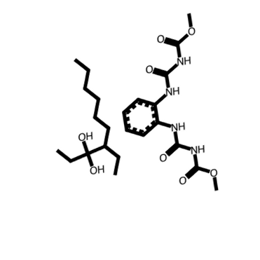 CCCCCCC(CC)C(O)(O)CC.COC(=O)NC(=O)Nc1ccccc1NC(=O)NC(=O)OC